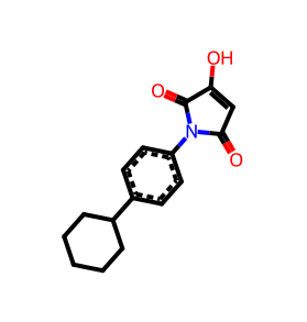 O=C1C=C(O)C(=O)N1c1ccc(C2CCCCC2)cc1